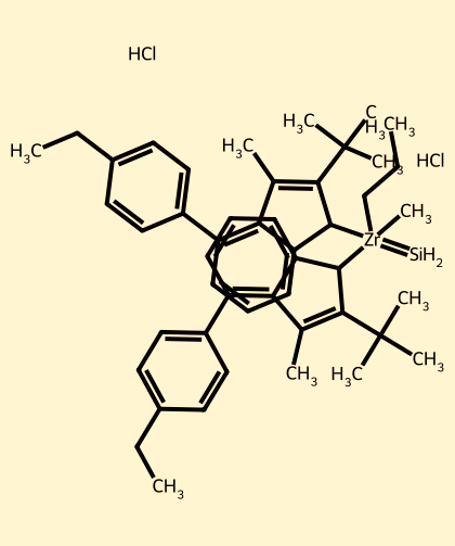 CC[CH2][Zr]([CH3])(=[SiH2])([CH]1C(C(C)(C)C)=C(C)c2c(-c3ccc(CC)cc3)cccc21)[CH]1C(C(C)(C)C)=C(C)c2c(-c3ccc(CC)cc3)cccc21.Cl.Cl